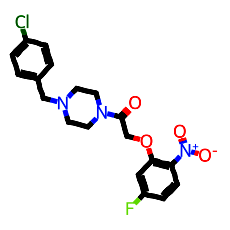 O=C(COc1cc(F)ccc1[N+](=O)[O-])N1CCN(Cc2ccc(Cl)cc2)CC1